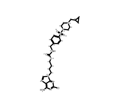 Nc1nc(Cl)nc2c1ncn2CCCCOC(=O)NCc1ccc(S(=O)(=O)N2CCN(CC3CC3)CC2)cc1